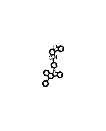 c1ccc(-c2cc3c4ccccc4n(-c4ccc(-c5nc6c(ccc7oc8ccccc8c76)o5)cc4)c3c3ccccc23)cc1